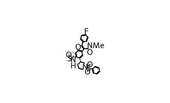 CNC(=O)c1c(-c2ccc(F)cc2)oc2cc(N[S@+](C)[O-])c([C@@H]3CCCN(S(=O)(=O)c4ccccc4)C3)cc12